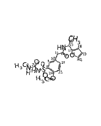 CNC(=O)NS(=O)(=O)c1cc(CC(=O)NC(C)c2ccco2)ccc1OC